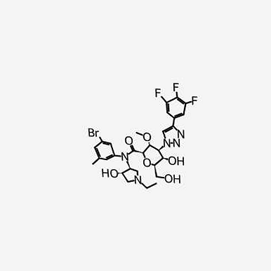 CCN1C[C@H](O)[C@@H](N(C(=O)[C@@H]2O[C@H](CO)[C@H](O)[C@H](n3cc(-c4cc(F)c(F)c(F)c4)nn3)[C@H]2OC)c2cc(C)cc(Br)c2)C1